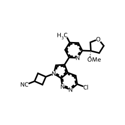 CO[C@@]1(c2cc(C)cc(-c3cn(C4CC(C#N)C4)c4nnc(Cl)cc34)n2)CCOC1